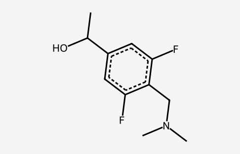 CC(O)c1cc(F)c(CN(C)C)c(F)c1